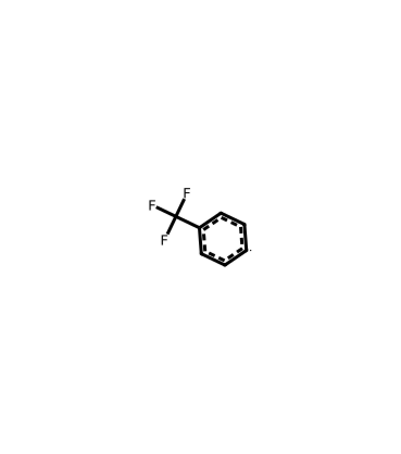 FC(F)(F)c1cc[c]cc1